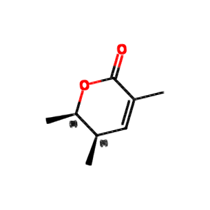 CC1=C[C@@H](C)[C@@H](C)OC1=O